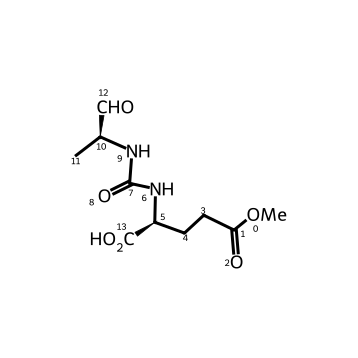 COC(=O)CC[C@H](NC(=O)N[C@@H](C)C=O)C(=O)O